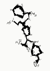 C=C(O/C(=C/CC)c1ccc(C(Nc2ccc(C=O)cc2)C(C)C)cc1)c1ccccc1